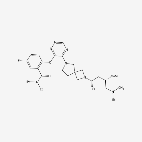 CCN(C)C[C@H](C[C@@H](C(C)C)N1CC2(CCN(c3ncnnc3Oc3ccc(F)cc3C(=O)N(CC)C(C)C)C2)C1)OC